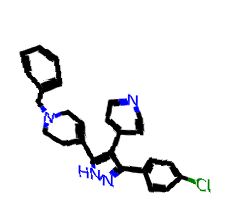 Clc1ccc(-c2n[nH]c(C3=CCN(Cc4ccccc4)CC3)c2-c2ccncc2)cc1